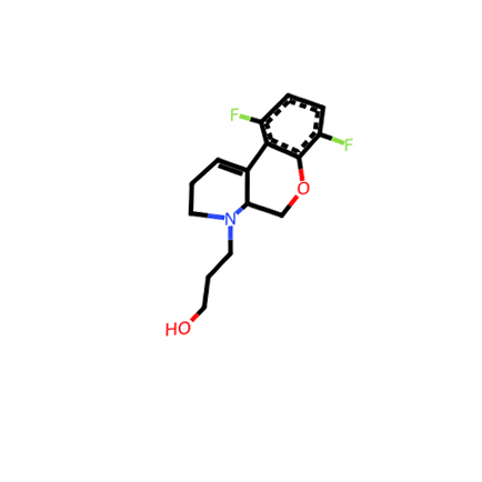 OCCCN1CCC=C2c3c(F)ccc(F)c3OCC21